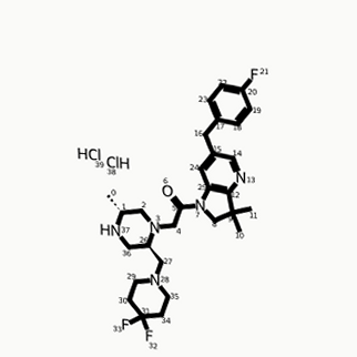 C[C@@H]1CN(CC(=O)N2CC(C)(C)c3ncc(Cc4ccc(F)cc4)cc32)[C@@H](CN2CCC(F)(F)CC2)CN1.Cl.Cl